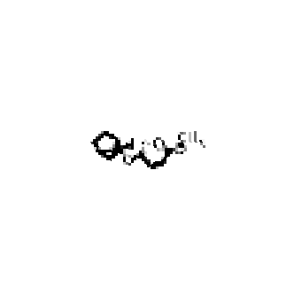 COC(=O)/C=C\C(=O)OC1(I)CC2CCC1C2